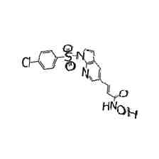 O=C(C=Cc1cnc2c(ccn2S(=O)(=O)c2ccc(Cl)cc2)c1)NO